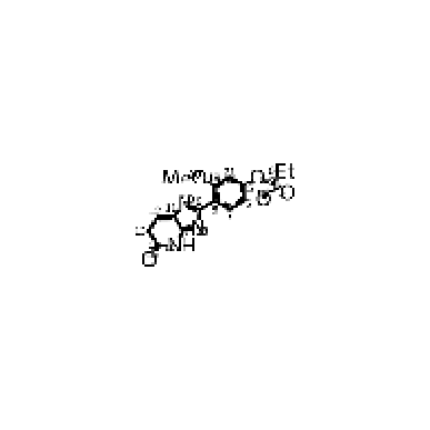 CCS(=O)(=O)Oc1ccc(C2=NC3=CCC(=O)NC3=N2)c(OC)c1